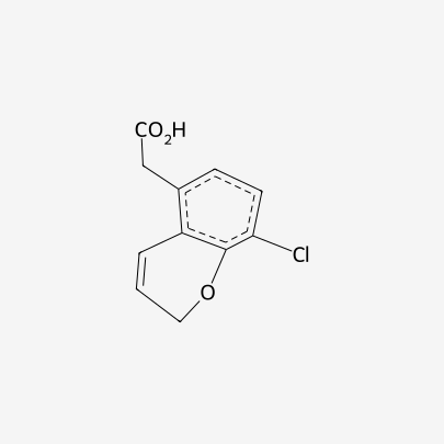 O=C(O)Cc1ccc(Cl)c2c1C=CCO2